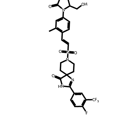 Cc1cc(N2C(=O)CCC2CO)ccc1C=CS(=O)(=O)N1CCC2(CC1)N=C(c1ccc(F)c(C(F)(F)F)c1)NC2=O